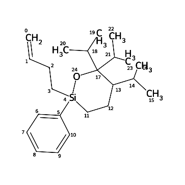 C=CCC[Si]1(c2ccccc2)CCC(C(C)C)C(C(C)C)(C(C)C)O1